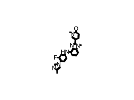 Cc1cn(-c2ccc(Nc3cccc4c3nc(-c3ccc(=O)n(C)c3)n4C)cc2F)cn1